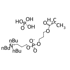 C=C(C)C(=O)OCCCOP(=O)([O-])OCCC[N+](CCCC)(CCCC)CCCC.O=P(O)(O)O